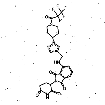 O=C1CCC(N2C(=O)c3cccc(NCc4cnn(C5CCN(C(=O)C(F)(F)C(F)(F)F)CC5)c4)c3C2=O)C(=O)N1